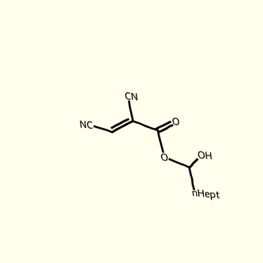 CCCCCCCC(O)OC(=O)C(C#N)=CC#N